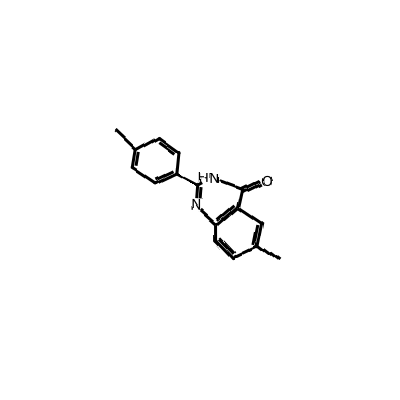 Cc1ccc(-c2nc3ccc(C)cc3c(=O)[nH]2)cc1